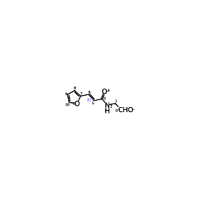 O=[C]CNC(=O)/C=C/c1ccco1